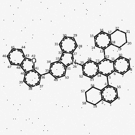 c1cc2c(c(-c3c4ccccc4c(-c4cccc5c4CCCC5)c4cc(-n5c6ccccc6c6cc(-c7cccc8c7oc7ccccc78)ccc65)ccc34)c1)CCCC2